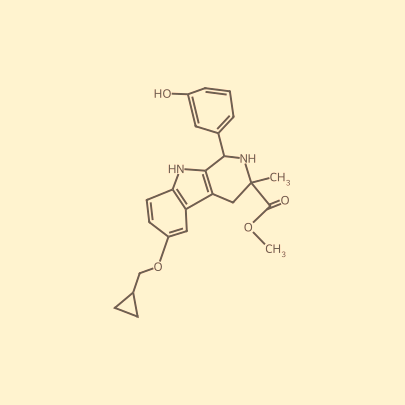 COC(=O)C1(C)Cc2c([nH]c3ccc(OCC4CC4)cc23)C(c2cccc(O)c2)N1